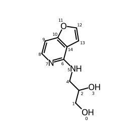 OCC(O)CNc1nccc2occc12